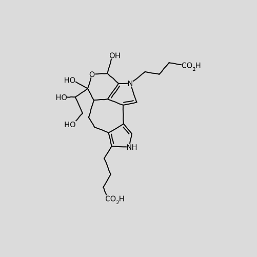 O=C(O)CCCc1[nH]cc2c1CCC1c3c-2cn(CCCC(=O)O)c3C(O)OC1(O)C(O)CO